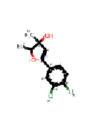 CCC(O)C(O)(/C=C/c1ccc(Cl)c(Cl)c1)C(F)(F)F